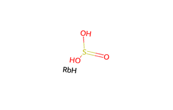 O=S(O)O.[RbH]